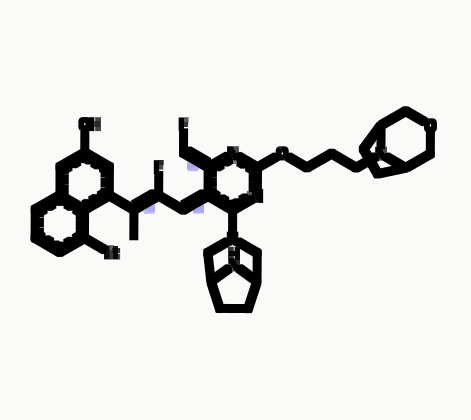 CCc1cccc2cc(O)cc(/C(C)=C(F)/C=c3/c(N4CC5CCC(C4)N5)nc(OCCCN4C5CCC4COC5)n/c3=C\F)c12